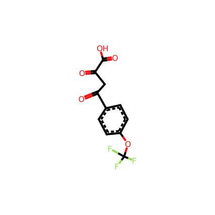 O=C(O)C(=O)CC(=O)c1ccc(OC(F)(F)F)cc1